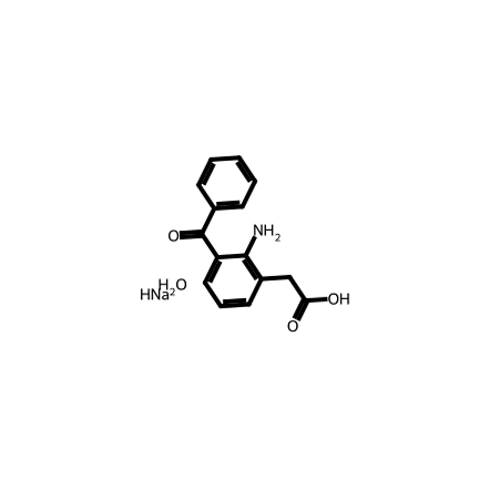 Nc1c(CC(=O)O)cccc1C(=O)c1ccccc1.O.[NaH]